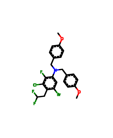 COc1ccc(CN(Cc2ccc(OC)cc2)c2cc(Br)c(CC(F)F)c(Cl)c2F)cc1